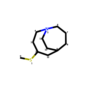 CSC1CCN2CCCC(CC2)C1